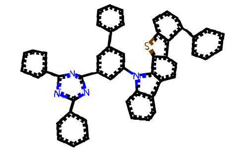 c1ccc(-c2cc(-c3nc(-c4ccccc4)nc(-c4ccccc4)n3)cc(-n3c4ccccc4c4ccc5c(sc6cccc(-c7ccccc7)c65)c43)c2)cc1